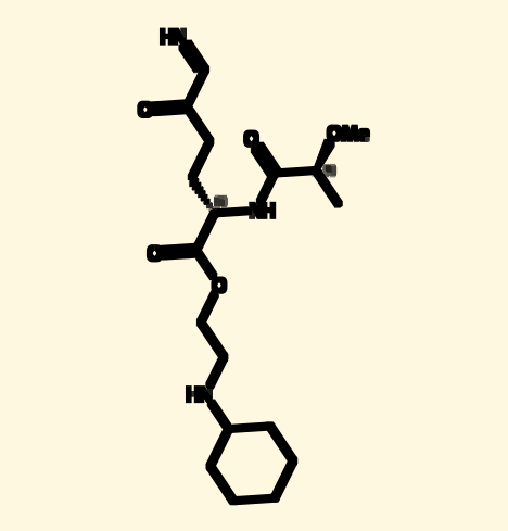 CO[C@@H](C)C(=O)N[C@@H](CCC(=O)C=N)C(=O)OCCNC1CCCCC1